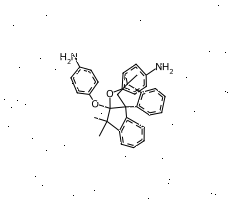 CC1(C)CC2(c3ccccc31)c1ccccc1C(C)(C)C2(Oc1ccc(N)cc1)Oc1ccc(N)cc1